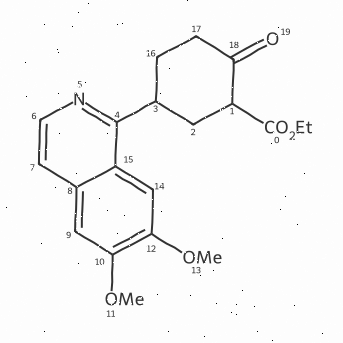 CCOC(=O)C1CC(c2nccc3cc(OC)c(OC)cc23)CCC1=O